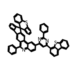 c1ccc(-c2nc(-c3ccc4nc(-c5ccccc5)c5cc6c(cc5c4c3)C3(c4ccccc4Sc4ccccc43)c3ccccc3-6)cc(-c3cccc4c3sc3ccccc34)n2)cc1